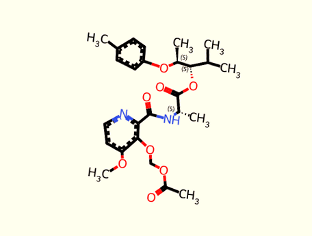 COc1ccnc(C(=O)N[C@@H](C)C(=O)O[C@@H](C(C)C)[C@H](C)Oc2ccc(C)cc2)c1OCOC(C)=O